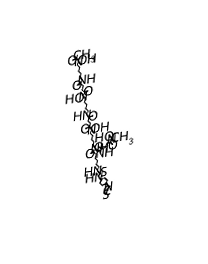 CC(=O)N(O)CCCCCNC(=O)CCC(=O)N(O)CCCCCNC(=O)CCC(=O)N(O)CCCCCNC(=O)C(CCCCNC(=S)Nc1ccc(N=C=S)cc1)NC(=O)CCC(=O)N(C)O